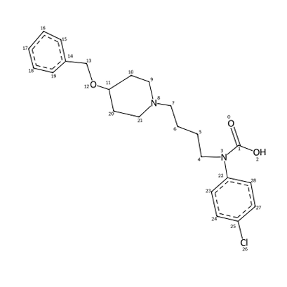 O=C(O)N(CCCCN1CCC(OCc2ccccc2)CC1)c1ccc(Cl)cc1